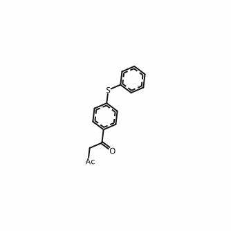 CC(=O)CC(=O)c1ccc(Sc2ccccc2)cc1